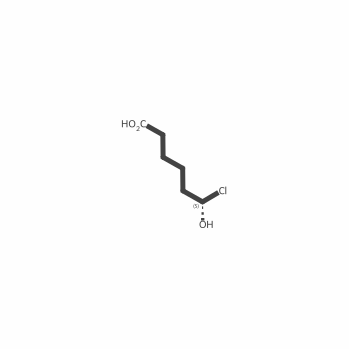 O=C(O)CCCC[C@@H](O)Cl